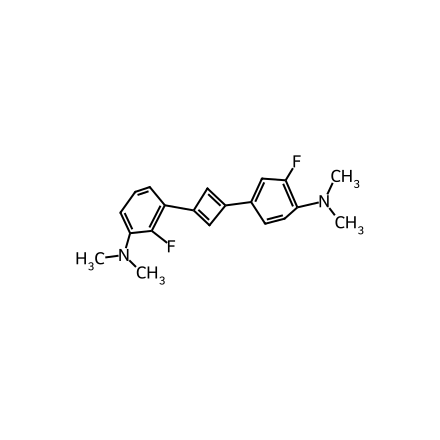 CN(C)c1ccc(C2=CC(c3cccc(N(C)C)c3F)=C2)cc1F